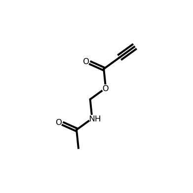 C#CC(=O)OCNC(C)=O